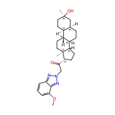 COc1cccc2nn(CC(=O)[C@H]3CC[C@H]4[C@@H]5CC[C@@H]6C[C@](C)(O)CC[C@@H]6[C@H]5CC[C@]34C)nc12